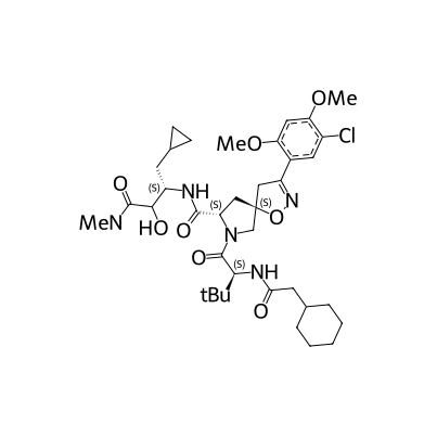 CNC(=O)C(O)[C@H](CC1CC1)NC(=O)[C@@H]1C[C@]2(CC(c3cc(Cl)c(OC)cc3OC)=NO2)CN1C(=O)[C@@H](NC(=O)CC1CCCCC1)C(C)(C)C